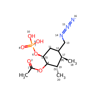 CC(=O)OC1[C@@H](OP(=O)(O)O)CC(CN=[N+]=[N-])[C@@H](C)[C@@H]1C